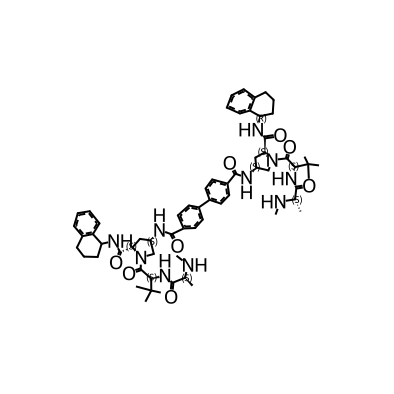 CN[C@@H](C)C(=O)N[C@H](C(=O)N1C[C@@H](NC(=O)c2ccc(-c3ccc(C(=O)N[C@H]4C[C@@H](C(=O)N[C@@H]5CCCc6ccccc65)N(C(=O)[C@@H](NC(=O)[C@H](C)NC)C(C)(C)C)C4)cc3)cc2)C[C@H]1C(=O)NC1CCCc2ccccc21)C(C)(C)C